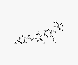 COc1cc(-n2ncc(COc3ccc(Cl)cc3)cc2=O)ccc1OCC(C)(C)O